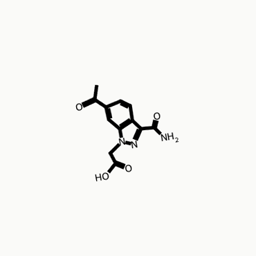 CC(=O)c1ccc2c(C(N)=O)nn(CC(=O)O)c2c1